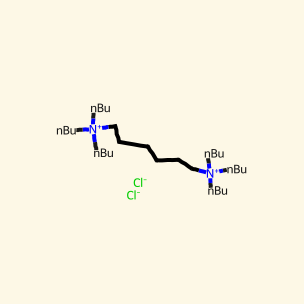 CCCC[N+](CCCC)(CCCC)CCCCCC[N+](CCCC)(CCCC)CCCC.[Cl-].[Cl-]